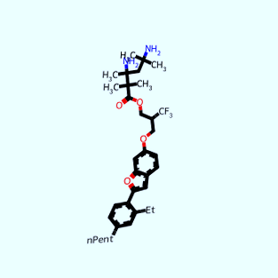 CCCCCc1ccc(-c2cc3ccc(OCC(COC(=O)C(C)(C)C(C)(N)CC(C)(C)N)C(F)(F)F)cc3o2)c(CC)c1